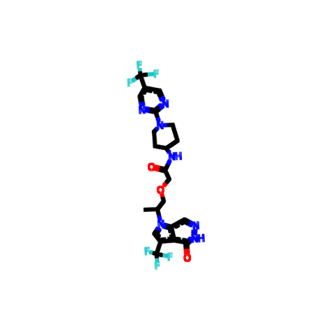 CC(COCC(=O)NC1CCN(c2ncc(C(F)(F)F)cn2)CC1)n1cc(C(F)(F)F)c2c(=O)[nH]ncc21